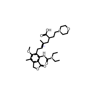 CCN(CC)C(=O)Nc1c(C/C=C(\C)CC(CCN2CCOCC2)C(=O)O)c(OC)c(C)c2c1C(=O)OC2